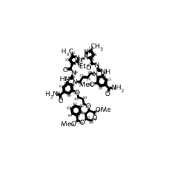 CCn1nc(C)cc1C(=O)/N=c1/[nH]c2cc(C(N)=O)cc(OC)c2n1C/C=C/Cn1/c(=N/C(=O)c2cc(C)nn2CC)[nH]c2cc(C(N)=O)cc(OCCCOC3CC(OC(OC)c4ccccc4)COC3OC)c21